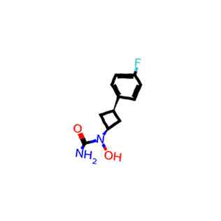 NC(=O)N(O)[C@H]1C[C@@H](c2ccc(F)cc2)C1